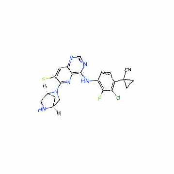 N#CC1(c2ccc(Nc3ncnc4cc(F)c(N5C[C@@H]6C[C@H]5CN6)nc34)c(F)c2Cl)CC1